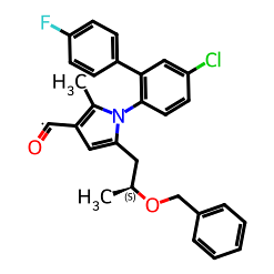 Cc1c([C]=O)cc(C[C@H](C)OCc2ccccc2)n1-c1ccc(Cl)cc1-c1ccc(F)cc1